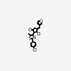 Cc1sc(C2C=CC(Cl)=CC2)nc1C1C(=O)C/C(=C\c2ccoc2)C1=O